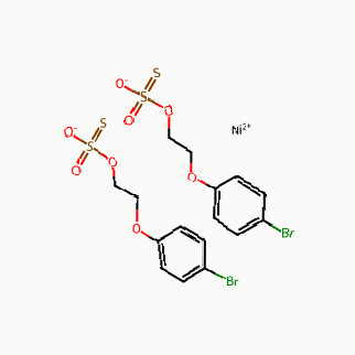 O=S([O-])(=S)OCCOc1ccc(Br)cc1.O=S([O-])(=S)OCCOc1ccc(Br)cc1.[Ni+2]